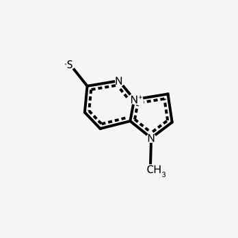 Cn1cc[n+]2nc([S])ccc12